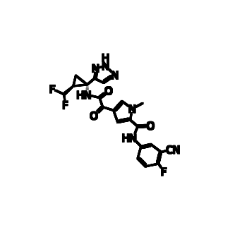 Cn1cc(C(=O)C(=O)N[C@@]2(c3cn[nH]n3)C[C@@H]2C(F)F)cc1C(=O)Nc1ccc(F)c(C#N)c1